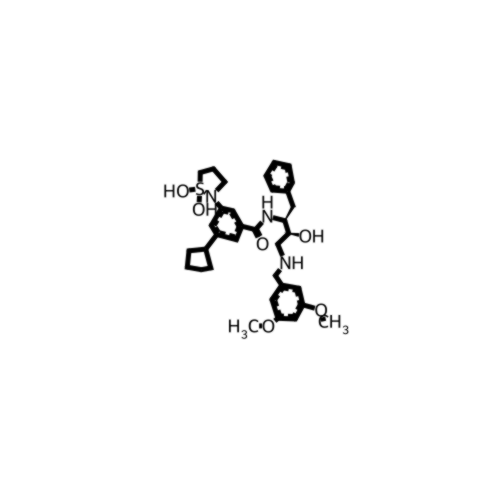 COc1cc(CNC[C@H](O)[C@H](Cc2ccccc2)NC(=O)c2cc(C3CCCC3)cc(N3CCCS3(O)O)c2)cc(OC)c1